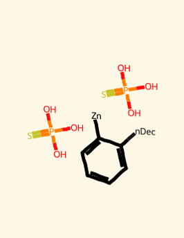 CCCCCCCCCCc1cccc[c]1[Zn].OP(O)(O)=S.OP(O)(O)=S